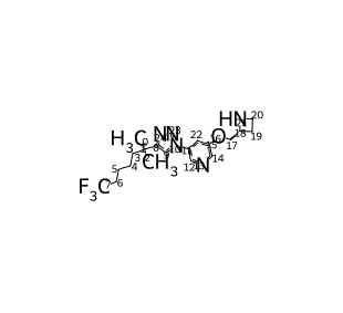 CC(C)(CCCCC(F)(F)F)c1cn(-c2cncc(OC[C@@H]3CCN3)c2)nn1